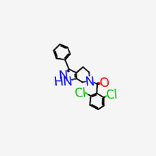 O=C(c1c(Cl)cccc1Cl)N1CCc2c(-c3ccccc3)n[nH]c2C1